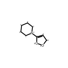 C1=C(N2CCCCC2)OOC1